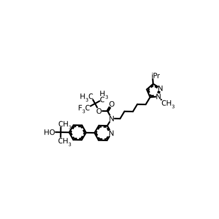 CC(C)c1cc(CCCCCN(C(=O)OC(C)(C)C(F)(F)F)c2cc(-c3ccc(C(C)(C)O)cc3)ccn2)n(C)n1